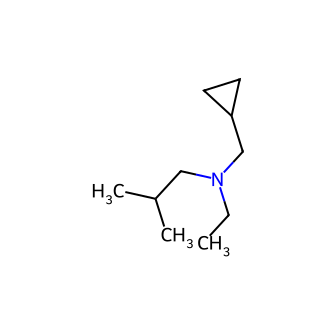 CCN(CC(C)C)CC1CC1